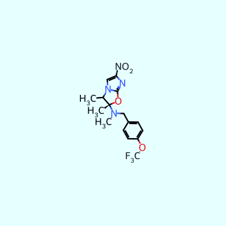 CC1n2cc([N+](=O)[O-])nc2O[C@]1(C)N(C)Cc1ccc(OC(F)(F)F)cc1